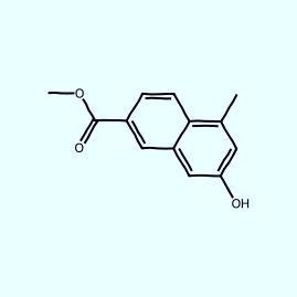 COC(=O)c1ccc2c(C)cc(O)cc2c1